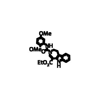 CCOC(=O)C1=CN(C(=O)Nc2cc(OC)ccc2OC)CCc2c1[nH]c1ccccc21